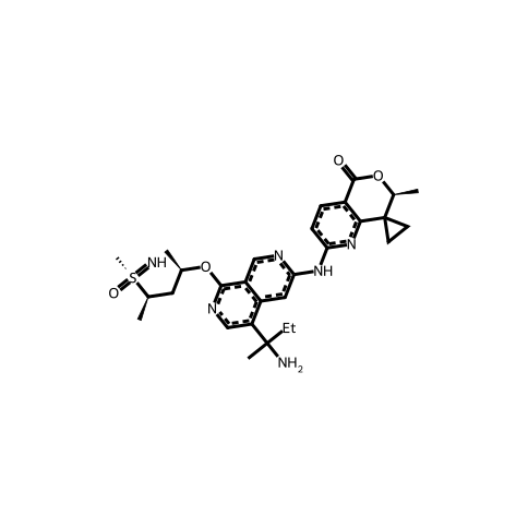 CCC(C)(N)c1cnc(O[C@H](C)C[C@@H](C)[S@](C)(=N)=O)c2cnc(Nc3ccc4c(n3)C3(CC3)[C@H](C)OC4=O)cc12